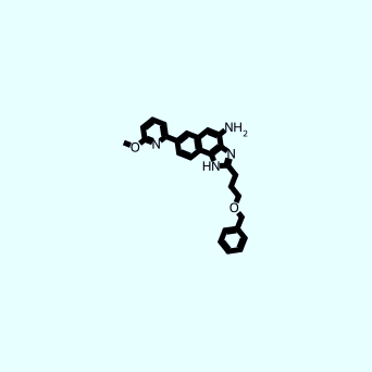 COc1cccc(-c2ccc3c(c2)cc(N)c2nc(CCCOCc4ccccc4)[nH]c23)n1